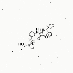 Cc1ccc(C(Nc2c(Nc3cccc(S(=O)(=O)N4CCC[C@@H]4C(=O)O)c3)c(=O)c2=O)C2(C)COC2)o1